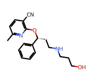 Cc1ccc(C#N)c(O[C@H](CCNCCCO)c2ccccc2)n1